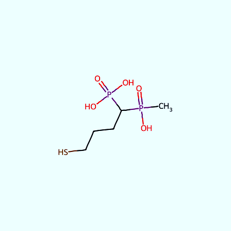 CP(=O)(O)C(CCCS)P(=O)(O)O